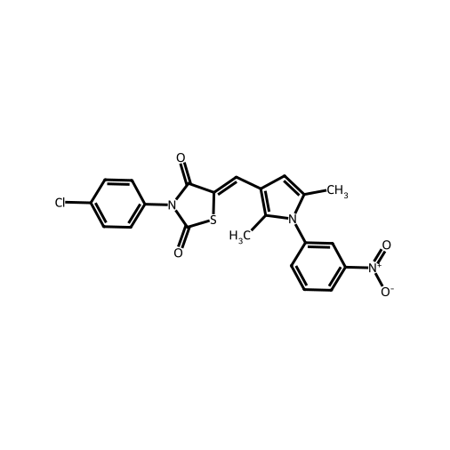 Cc1cc(C=C2SC(=O)N(c3ccc(Cl)cc3)C2=O)c(C)n1-c1cccc([N+](=O)[O-])c1